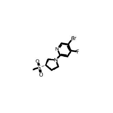 CS(=O)(=O)[C@H]1CCN(c2cc(F)c(Br)cn2)C1